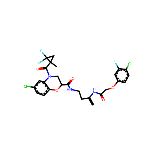 C=C(CCNC(=O)C1CN(C(=O)C2(C)CC2(F)F)c2cc(Cl)ccc2O1)NC(=O)COc1ccc(Cl)c(F)c1